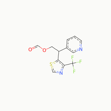 O=COCC(c1cccnc1)c1scnc1C(F)(F)F